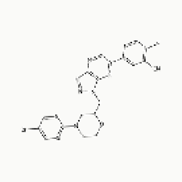 N#Cc1cc(-c2cnc3nnn(CC4CN(c5ncc(Br)cn5)CCO4)c3n2)ccc1F